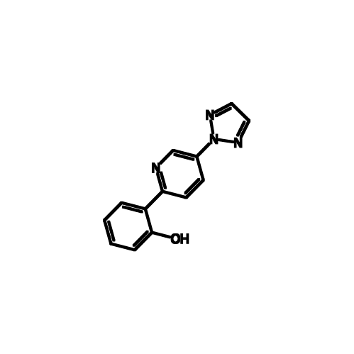 Oc1ccccc1-c1ccc(-n2nccn2)cn1